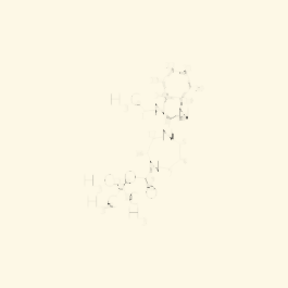 CCn1c(N2CCCN(C(=O)OC(C)(C)C)CC2)nc2ccccc21